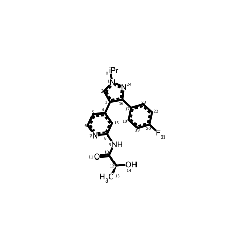 CC(C)n1cc(-c2ccnc(NC(=O)[C@H](C)O)c2)c(-c2ccc(F)cc2)n1